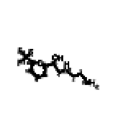 NCCNCC(O)c1cccc(C(F)(F)F)c1